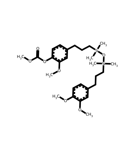 COC(=O)Oc1ccc(CCC[Si](C)(C)O[Si](C)(C)CCCc2ccc(OC)c(OC)c2)cc1OC